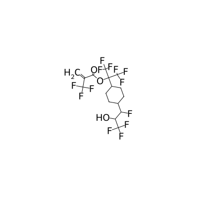 C=C(C(=O)OC(C1CCC(C(F)C(O)C(F)(F)F)CC1)(C(F)(F)F)C(F)(F)F)C(F)(F)F